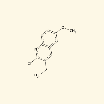 CCc1cc2cc(OC)ccc2nc1Cl